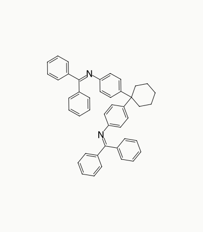 c1ccc(C(=Nc2ccc(C3(c4ccc(N=C(c5ccccc5)c5ccccc5)cc4)CCCCC3)cc2)c2ccccc2)cc1